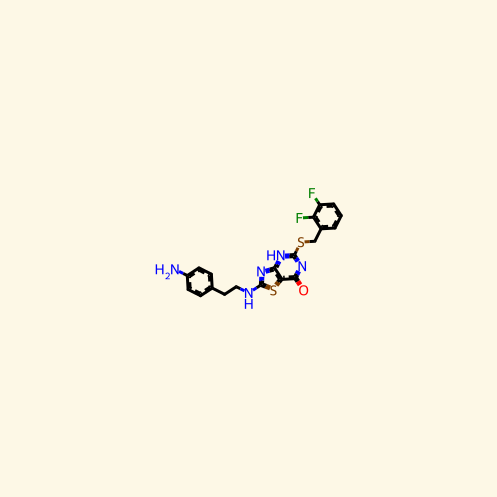 Nc1ccc(CCNc2nc3[nH]c(SCc4cccc(F)c4F)nc(=O)c3s2)cc1